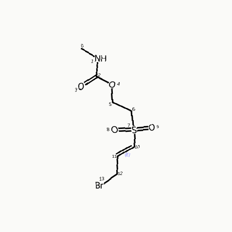 CNC(=O)OCCS(=O)(=O)/C=C/CBr